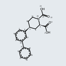 O=C(O)[C@H]1C[C@@H](c2cccc(-c3ccccc3)c2)CCN1C(=O)O